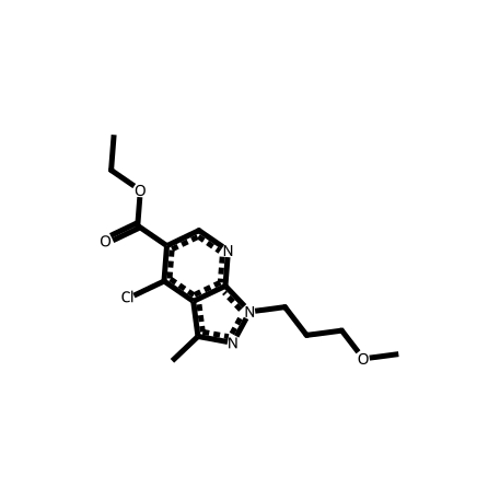 CCOC(=O)c1cnc2c(c(C)nn2CCCOC)c1Cl